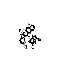 Clc1ccc2ncc(Br)n2n1.OC(c1cc2cccnc2cc1C(F)(F)F)c1cnc2ccc(Cl)nn12